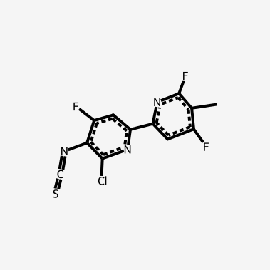 Cc1c(F)cc(-c2cc(F)c(N=C=S)c(Cl)n2)nc1F